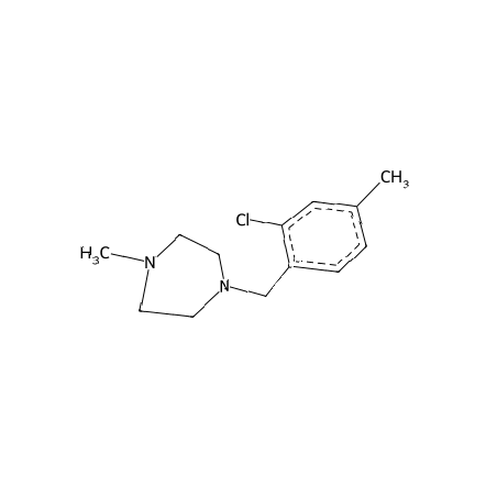 Cc1ccc(CN2CCN(C)CC2)c(Cl)c1